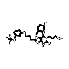 Cn1c(=O)n(CCCO)c(=O)c2c1nc(CCCOc1cccc(OC(F)(F)F)c1)n2Cc1ccc(Cl)cc1